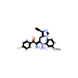 C#Cc1ncn2c1C/C(=C(/N)C(=O)c1ccc(F)cc1)N(N)c1cc(OC)ccc1-2